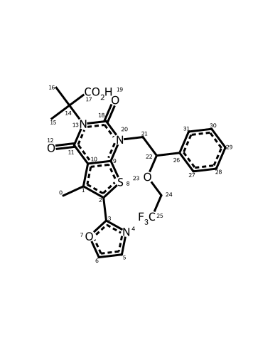 Cc1c(-c2ncco2)sc2c1c(=O)n(C(C)(C)C(=O)O)c(=O)n2CC(OCC(F)(F)F)c1ccccc1